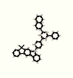 CC1(C)c2ccccc2-c2cc3c4ccccc4n(-c4ccc(-c5nc(-c6ccccc6)nc(-c6ccc7ccccc7c6)n5)cn4)c3cc21